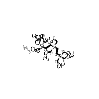 CC[Si](C=C[Si](CO)(CO)CO)(C=C[Si](OC)(OC)OC)CC